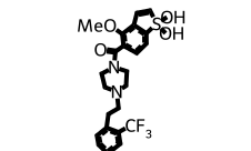 COc1c(C(=O)N2CCN(CCc3ccccc3C(F)(F)F)CC2)ccc2c1C=CS2(O)O